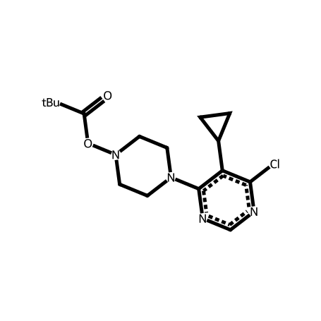 CC(C)(C)C(=O)ON1CCN(c2ncnc(Cl)c2C2CC2)CC1